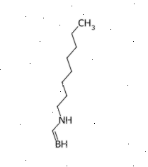 B=CNCCCCCCCC